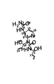 C=CC(O)NC(=O)N(c1cc(NC(N)=O)ccn1)C(O)C=C